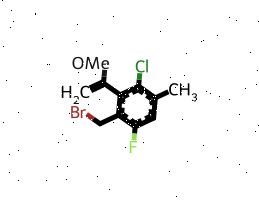 C=C(OC)c1c(Cl)c(C)cc(F)c1CBr